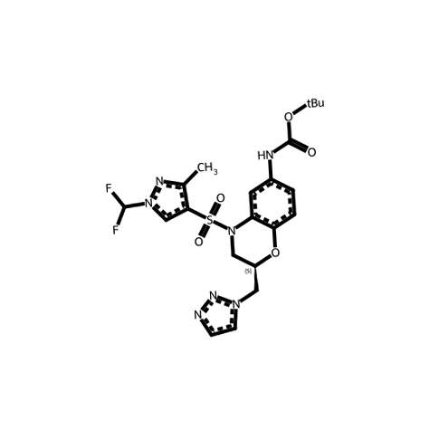 Cc1nn(C(F)F)cc1S(=O)(=O)N1C[C@H](Cn2ccnn2)Oc2ccc(NC(=O)OC(C)(C)C)cc21